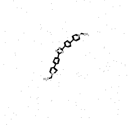 CC[n+]1ccc(-c2ccc(-c3nnc(-c4ccc(-c5cc[n+](CC)cc5)cc4)o3)cc2)cc1